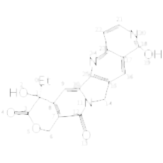 CC[C@@]1(O)C(=O)OCc2c1cc1n(c2=O)Cc2cc3c(O)nccc3nc2-1